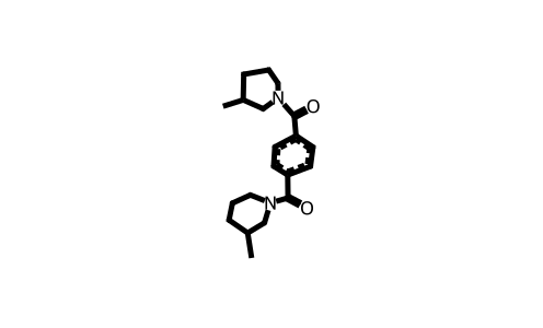 CC1CCCN(C(=O)c2ccc(C(=O)N3CCCC(C)C3)cc2)C1